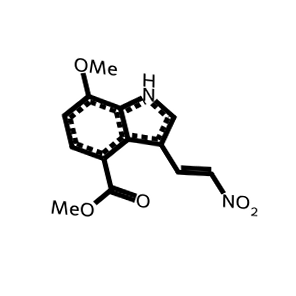 COC(=O)c1ccc(OC)c2[nH]cc(C=C[N+](=O)[O-])c12